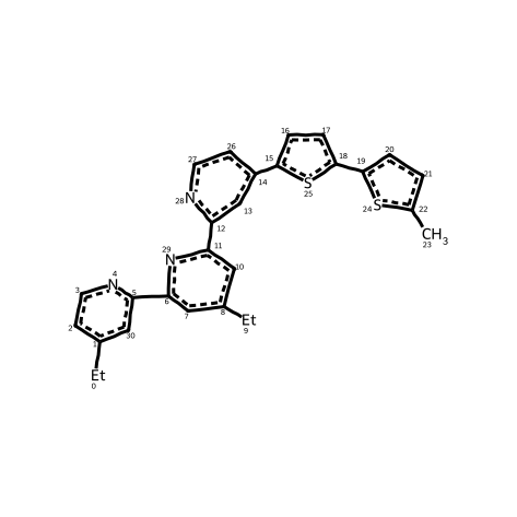 CCc1ccnc(-c2cc(CC)cc(-c3cc(-c4ccc(-c5ccc(C)s5)s4)ccn3)n2)c1